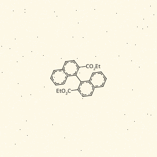 CCOC(=O)c1ccc2ccccc2c1-c1c(C(=O)OCC)ccc2ccccc12